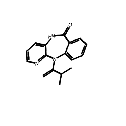 C=C(C(C)C)N1c2ccccc2C(=O)Nc2cccnc21